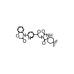 O=C(CN1C(=O)NC2(CCC(F)(F)CC2)C1=O)c1ccc(N2C(=O)COc3ccccc32)nc1